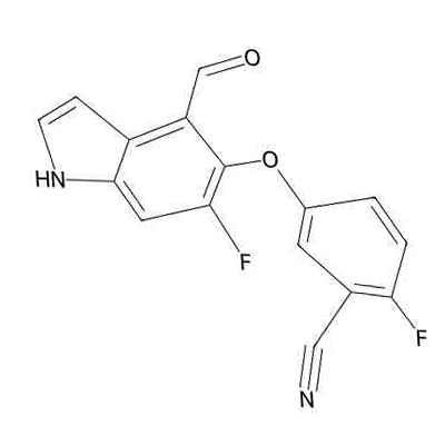 N#Cc1cc(Oc2c(F)cc3[nH]ccc3c2C=O)ccc1F